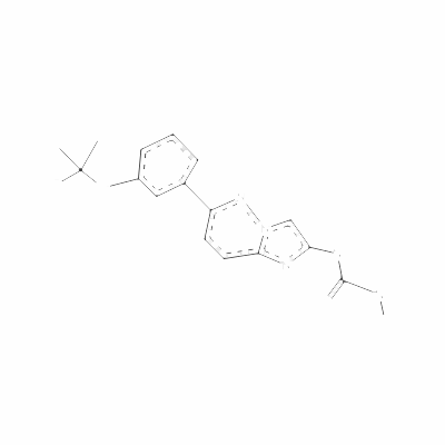 CNC(=O)Nc1cn2nc(-c3cccc(OC(F)(F)F)c3)ccc2n1